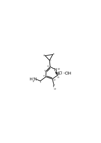 Cl.Cl.NCc1cc(C2CC2)ncc1F